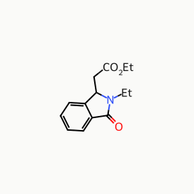 CCOC(=O)CC1c2ccccc2C(=O)N1CC